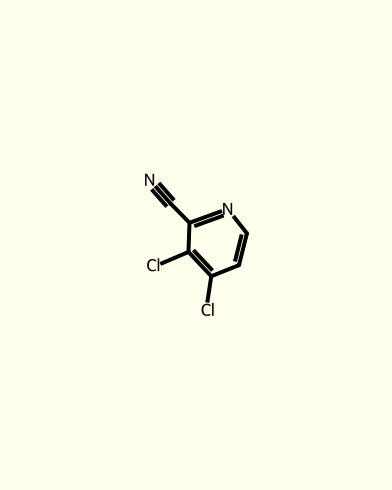 N#Cc1nccc(Cl)c1Cl